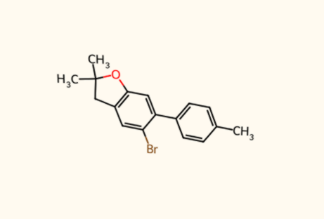 Cc1ccc(-c2cc3c(cc2Br)CC(C)(C)O3)cc1